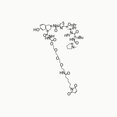 CCCO[C@H](C[C@H](C(C)C)N(CCC)C(=O)[C@@H](NC(=O)[C@H]1CCCCN1C)[C@@H](C)CC)c1nc(C(=O)N[C@H]2Cc3ccc(O)cc3[C@H](C(=O)NNC(=O)OCCOCCOCCOCCNC(=O)CCCCCN3C(=O)C=CC3=O)C2)cs1